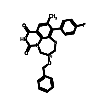 Cc1cc2c(=O)[nH]c(=O)n3c2c(c1-c1ccc(F)cc1)SC[C@@H](OCc1ccccc1)C3